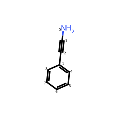 NC#Cc1ccccc1